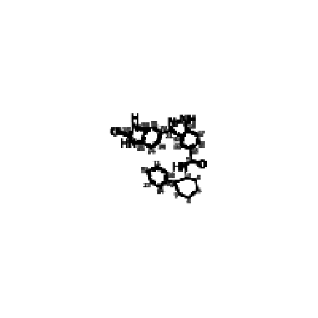 O=C(N[C@@H]1CCCC[C@H]1c1ccccc1)c1ccc2[nH]nc(-c3ccc4[nH]c(=O)[nH]c4c3)c2c1